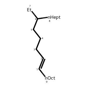 [CH2]CCCCCCC/C=C/CCCC(CC)CCCCCC[CH2]